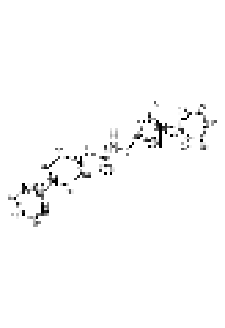 Cc1cc(CNC(=O)CN2CCN(c3ncccn3)CC2)nn1-c1ccccc1